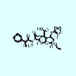 CCOP(=O)(O)CC(Sc1nnn[nH]1)C1=C(C(=O)O)N2C(=O)[C@@H](NC(=O)C(N)c3ccccc3)[C@@H]2SC1